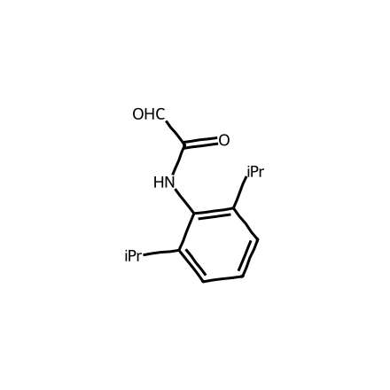 CC(C)c1cccc(C(C)C)c1NC(=O)C=O